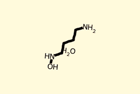 NCCCCNO.O